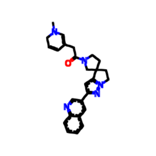 CN1C=C(CC(=O)N2CCC3(CCn4nc(-c5cnc6ccccc6c5)cc43)C2)C=CC1